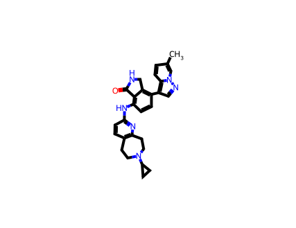 Cc1ccc2c(-c3ccc(Nc4ccc5c(n4)CCN(C4CC4)CC5)c4c3CNC4=O)cnn2c1